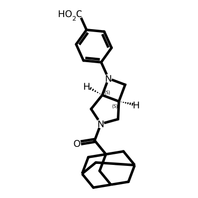 O=C(O)c1ccc(N2C[C@H]3CN(C(=O)C45CC6CC(CC(C6)C4)C5)C[C@H]32)cc1